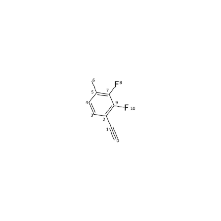 C#Cc1ccc(C)c(F)c1F